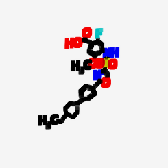 CCC1CC=C(c2ccc(-c3nc(S(=O)(=O)Nc4cc(F)c(C(=O)O)cc4OC)co3)cc2)CC1